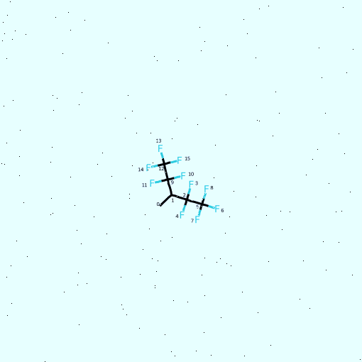 CC(C(F)(F)C(F)(F)F)C(F)(F)C(F)(F)F